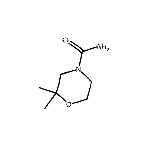 CC1(C)CN(C(N)=O)CCO1